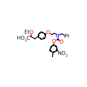 CCOC(Cc1ccc(OCCN(CC(C)C)C(=O)Oc2ccc(C)c([N+](=O)[O-])c2)cc1)C(=O)O